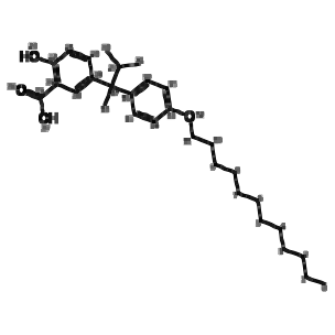 CCCCCCCCCCCCOc1ccc(C(C)(c2ccc(O)c(C(=O)O)c2)C(C)C)cc1